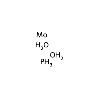 O.O.P.[Mo]